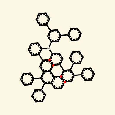 c1ccc(-c2cc(-c3ccccc3)cc(N(c3ccc(-c4cccc(-c5ccccc5)c4-c4ccccc4)cc3)c3ccccc3-c3ccc4c(c3)c(-c3ccccc3)c(-c3ccccc3)c3ccccc34)c2)cc1